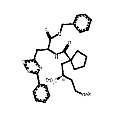 CCOC(=O)[C@H](CCOC)CC1(C(=O)NC(Cc2nc(-c3ccccc3)no2)C(=O)OCc2ccccc2)CCCC1